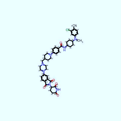 CN(c1ccc(C#N)c(Cl)c1)C1CCC(NC(=O)c2ccc(N3CCC(CN4CCN(c5ccc6c(c5)C(=O)N(C5CCC(=O)NC5=O)C6=O)CC4)CC3)cc2)CC1